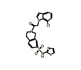 O=C(Cn1ccc2cccc(Cl)c21)N1CCc2ccc(S(=O)(=O)Nc3nccs3)cc2C1